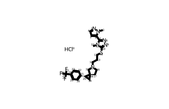 Cl.Cn1nccc1-c1nnc(SCCCN2CC[C@]3(C[C@@H]3c3ccc(C(F)(F)F)cc3)C2)n1C